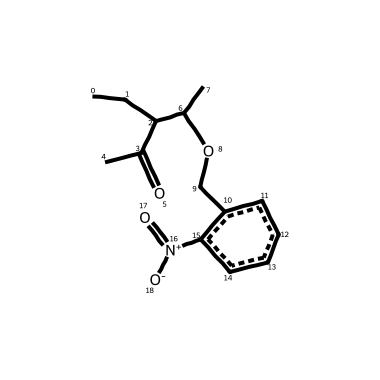 CCC(C(C)=O)C(C)OCc1ccccc1[N+](=O)[O-]